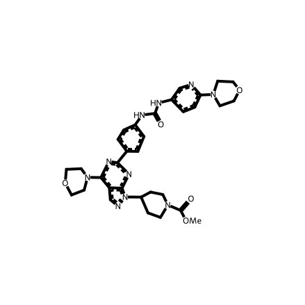 COC(=O)N1CCC(n2ncc3c(N4CCOCC4)nc(-c4ccc(NC(=O)Nc5ccc(N6CCOCC6)nc5)cc4)nc32)CC1